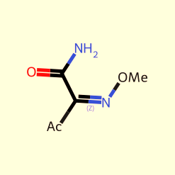 CO/N=C(/C(C)=O)C(N)=O